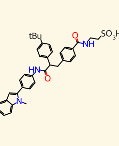 Cn1c(-c2ccc(NC(=O)C(Cc3ccc(C(=O)NCCS(=O)(=O)O)cc3)c3ccc(C(C)(C)C)cc3)cc2)cc2ccccc21